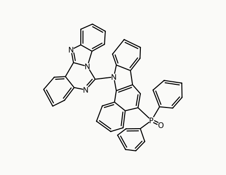 O=P(c1ccccc1)(c1ccccc1)c1cc2c3ccccc3n(-c3nc4ccccc4c4nc5ccccc5n34)c2c2ccccc12